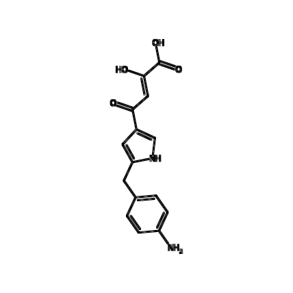 Nc1ccc(Cc2cc(C(=O)C=C(O)C(=O)O)c[nH]2)cc1